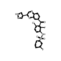 O=C(c1ccc2ncc(-c3cn[nH]c3)nc2c1)c1c(Cl)ccc(NS(=O)(=O)c2cccc(F)c2)c1F